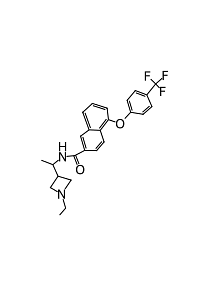 CCN1CC(C(C)NC(=O)c2ccc3c(Oc4ccc(C(F)(F)F)cc4)cccc3c2)C1